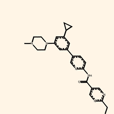 CCc1ncc(C(=O)Nc2ccc(-c3cc(C4CC4)cc(N4CCN(C)CC4)c3)cn2)cn1